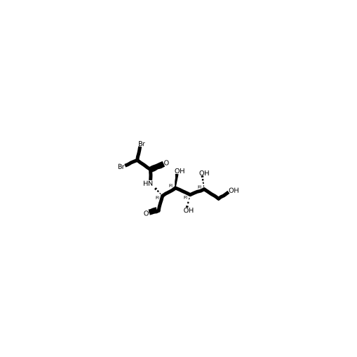 O=C[C@H](NC(=O)C(Br)Br)[C@@H](O)[C@@H](O)[C@H](O)CO